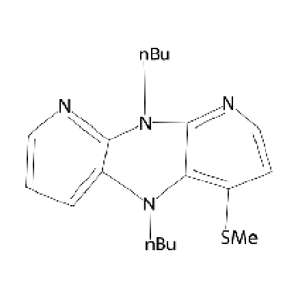 CCCCN1c2ncccc2N(CCCC)c2c(SC)ccnc21